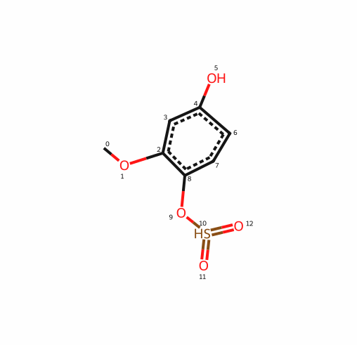 COc1cc(O)ccc1O[SH](=O)=O